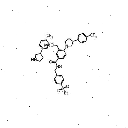 CCS(=O)(=O)c1ccc(CNC(=O)c2ccc(N3CCC(c4ccc(C(F)(F)F)cc4)C3)c(COC)c2)cc1.FC(F)(F)c1ccc(C2CCNC2)cc1